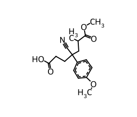 COC(=O)C(C)CC(C#N)(CCC(=O)O)c1ccc(OC)cc1